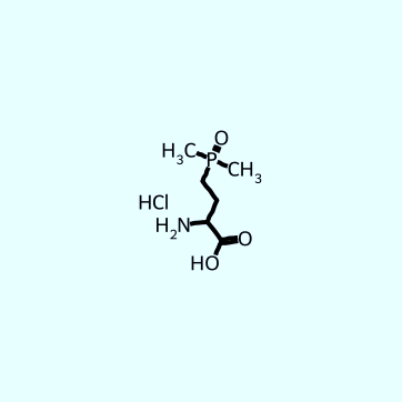 CP(C)(=O)CCC(N)C(=O)O.Cl